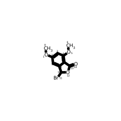 COc1cc(OC)c2c(c1)C(Br)OC2=O